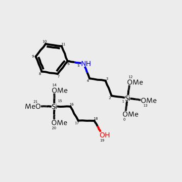 CO[Si](CCCNc1ccccc1)(OC)OC.CO[Si](CCCO)(OC)OC